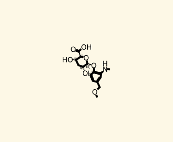 CNc1cc(COC)ccc1O[C@@H]1O[C@H](C(=O)O)[C@@H](O)C[C@H]1O